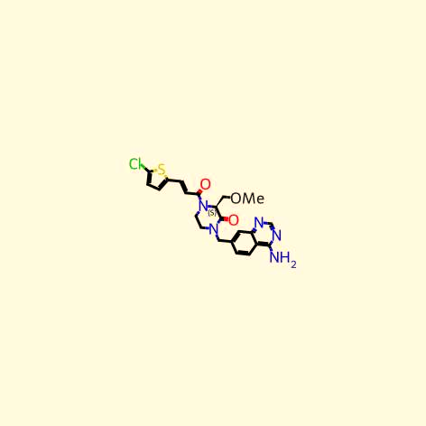 COC[C@H]1C(=O)N(Cc2ccc3c(N)ncnc3c2)CCN1C(=O)C=Cc1ccc(Cl)s1